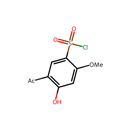 COc1cc(O)c(C(C)=O)cc1S(=O)(=O)Cl